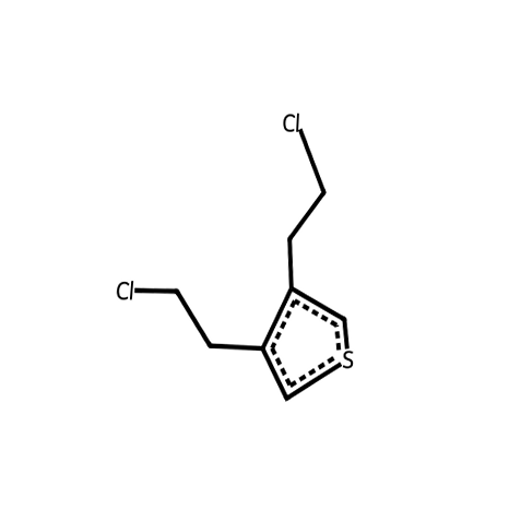 ClCCc1cscc1CCCl